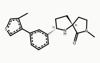 Cc1cscc1-c1cccc([C@@H]2CC[C@]3(CCN(C)C3=O)N2)c1